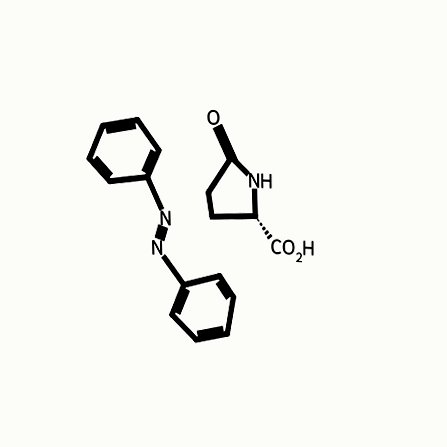 O=C1CC[C@@H](C(=O)O)N1.c1ccc(N=Nc2ccccc2)cc1